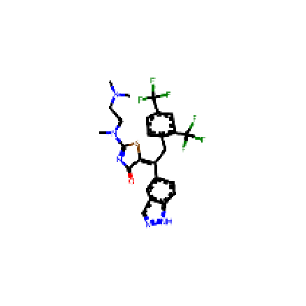 CN(C)CCN(C)C1=NC(=O)C(=C(Cc2ccc(C(F)(F)F)cc2C(F)(F)F)c2ccc3[nH]ncc3c2)S1